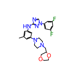 Cc1cc(Nc2ncn(-c3cc(F)cc(F)c3)n2)cc(N2CCN(CC3COCCO3)CC2)c1